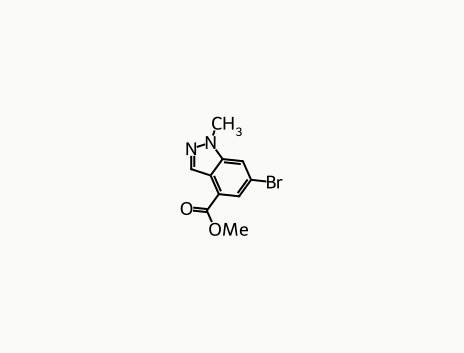 COC(=O)c1cc(Br)cc2c1cnn2C